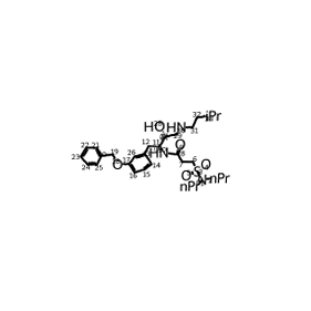 CCCN(CCC)S(=O)(=O)CCC(=O)N[C@@H](Cc1cccc(OCc2ccccc2)c1)[C@H](O)CNCCC(C)C